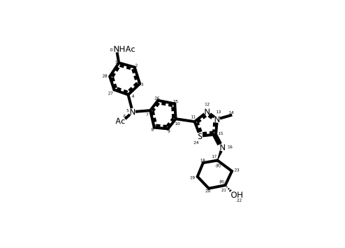 CC(=O)Nc1ccc(N(C(C)=O)c2ccc(-c3nn(C)c(=N[C@@H]4CCC[C@@H](O)C4)s3)cc2)cc1